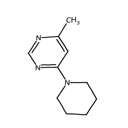 Cc1cc(N2CCCCC2)ncn1